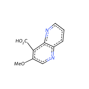 COc1cnc2cccnc2c1C(=O)O